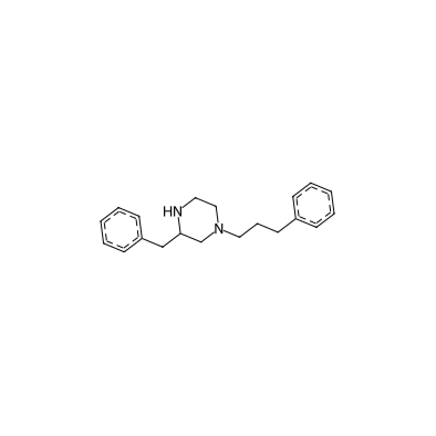 c1ccc(CCCN2CCNC(Cc3ccccc3)C2)cc1